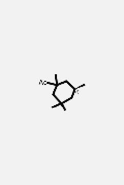 CC(=O)C1(C)C[C@@H](C)CC(C)(C)C1